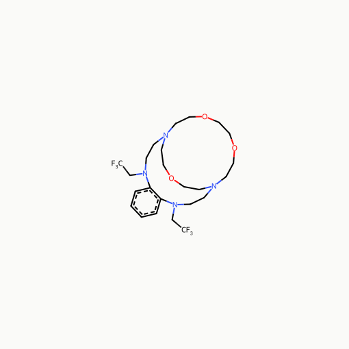 FC(F)(F)CN1CCN2CCOCCOCCN(CCOCC2)CCN(CC(F)(F)F)c2ccccc21